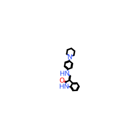 O=C1Nc2ccccc2C1=CNc1ccc(N2CCCCC2)cc1